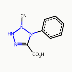 N#CN1NN=C(C(=O)O)N1c1ccccc1